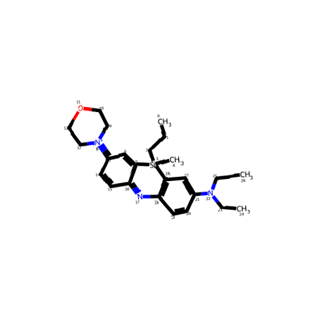 CCC[Si]1(C)C2=CC(=[N+]3CCOCC3)C=CC2=Nc2ccc(N(CC)CC)cc21